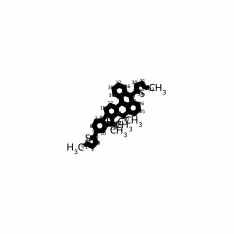 Cc1ccc(-c2ccc3c(c2)C(C)(C)c2c-3ccc3c2C(C)(C)c2cccc4c(-c5ccc(C)s5)c5ccccc5c-3c24)s1